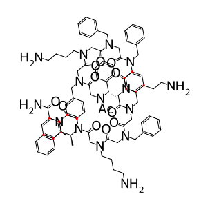 CC(=O)N(CC(=O)N(CC(=O)N(CCCCN)CC(=O)N(CC(=O)N(CC(=O)N(CCCCN)CC(=O)N(CC(=O)N(CC(=O)N(CCCCN)CC(=O)N(CC(=O)N(CC(N)=O)[C@@H](C)c1ccccc1)[C@@H](C)c1ccccc1)Cc1ccccc1)Cc1ccccc1)Cc1ccccc1)Cc1ccccc1)Cc1ccccc1)[C@@H](C)c1ccccc1